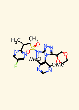 COc1ncnc(OC)c1-n1c(NS(=O)(=O)[C@@H](C)[C@H](C)c2ncc(F)cn2)nnc1C1COCCO1